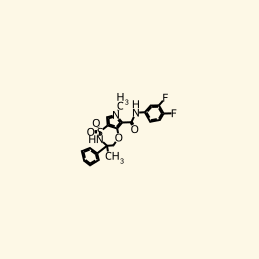 Cn1cc2c(c1C(=O)Nc1ccc(F)c(F)c1)OCC(C)(c1ccccc1)NS2(=O)=O